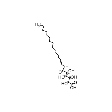 CCCCCCCCCCCCCC=CNC(=O)[C@@H](O)[C@H](O)[C@@H](O)[C@@H](O)C(=O)O